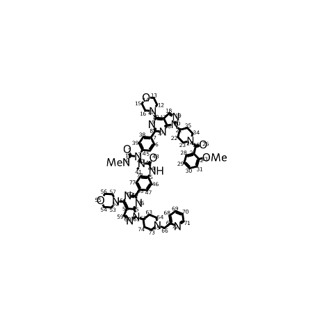 CNC(=O)N(c1ccc(-c2nc(N3CCOCC3)c3cnn(C4CCN(C(=O)c5ccccc5OC)CC4)c3n2)cc1)N(C)C(=O)Nc1ccc(-c2nc(N3CCOCC3)c3cnn(C4CCN(Cc5ccccn5)CC4)c3n2)cc1